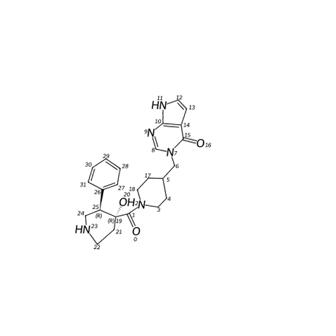 O=C(N1CCC(Cn2cnc3[nH]ccc3c2=O)CC1)[C@@]1(O)CCNC[C@H]1c1ccccc1